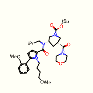 COCCCCn1c(C(=O)N(CC(C)C)[C@H]2C[C@@H](C(=O)N3CCOCC3)CN(C(=O)OC(C)(C)C)C2)ccc1-c1ccccc1OC